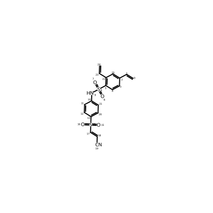 C=Cc1ccc(S(=O)(=O)Nc2ccc(S(=O)(=O)C=CC#N)cc2)c(C=C)c1